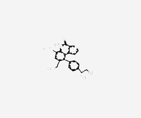 Cc1cc(CO)c(-c2ccc([C@@H](C)CN)cc2)c2c1[nH]c(=O)c1sccc12